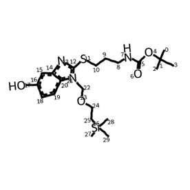 CC(C)(C)OC(=O)NCCCSc1nc2cc(O)ccc2n1COCC[Si](C)(C)C